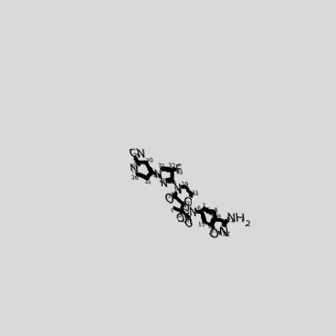 CC(O)(C(=O)Nc1ccc2c(N)noc2c1)C1OCCN(c2nn(-c3ccnc(C#N)c3)cc2F)C1=O